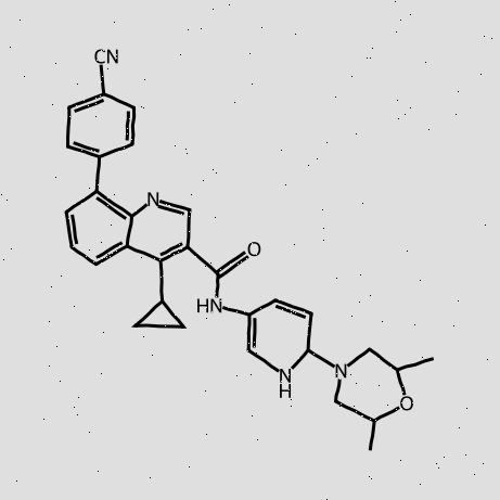 CC1CN(C2C=CC(NC(=O)c3cnc4c(-c5ccc(C#N)cc5)cccc4c3C3CC3)=CN2)CC(C)O1